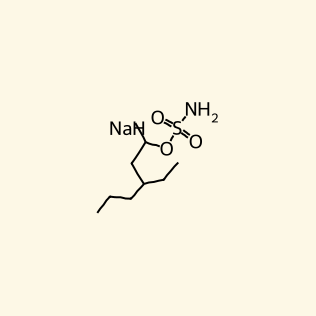 CCCC(CC)CC(C)OS(N)(=O)=O.[NaH]